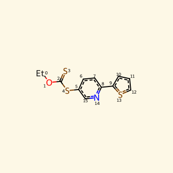 CCOC(=S)Sc1ccc(-c2cccs2)nc1